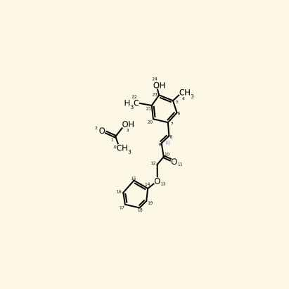 CC(=O)O.Cc1cc(/C=C/C(=O)COc2ccccc2)cc(C)c1O